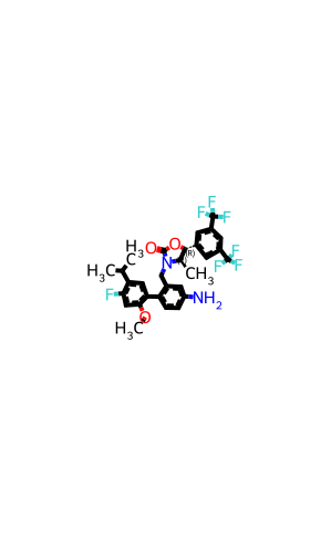 COc1cc(F)c(C(C)C)cc1-c1ccc(N)cc1CN1C(=O)O[C@H](c2cc(C(F)(F)F)cc(C(F)(F)F)c2)[C@H]1C